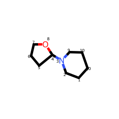 [CH]1CCN(C2CCCO2)CC1